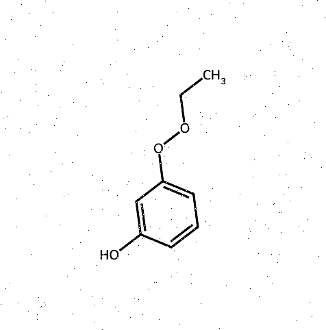 CCOOc1cccc(O)c1